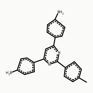 Bc1ccc(-c2cc(-c3ccc(B)cc3)nc(-c3ccc(C)cc3)n2)cc1